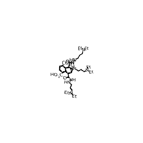 CCN(CC)CCCNNC(=O)c1cc(NCCCN(CC)CC)c(C(=O)NNCCCN(CC)CC)c2c(C(=O)O)ccc(C(=O)O)c12